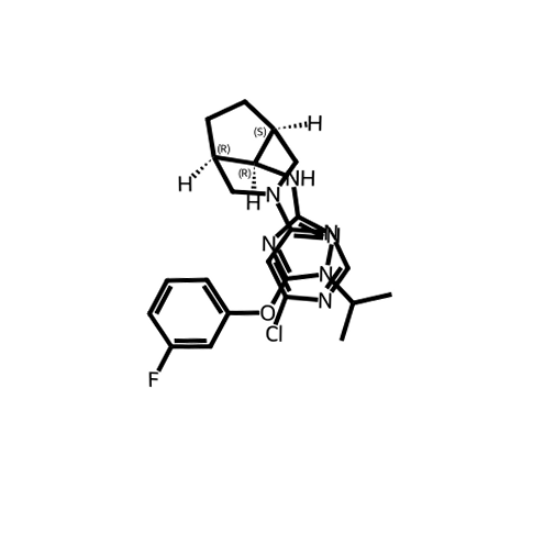 CC(C)n1nc(N[C@H]2[C@@H]3CC[C@H]2CN(c2cc(Cl)ncn2)C3)nc1Oc1cccc(F)c1